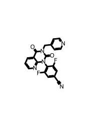 N#Cc1cc(F)c(-n2c(=O)n(Cc3ccncc3)c(=O)c3cccnc32)c(F)c1